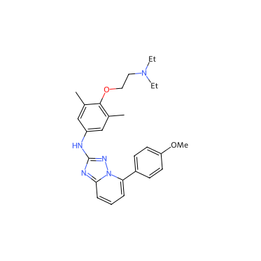 CCN(CC)CCOc1c(C)cc(Nc2nc3cccc(-c4ccc(OC)cc4)n3n2)cc1C